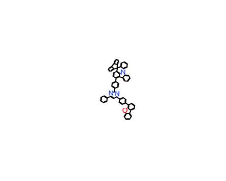 c1ccc(-c2cc(-c3ccc(-c4cccc5c4oc4ccccc45)cc3)nc(-c3ccc(-c4ccc5c6c4c4ccccc4n6-c4ccccc4C54c5ccccc5-c5ccccc54)cc3)n2)cc1